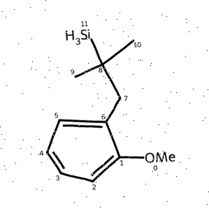 COc1ccccc1CC(C)(C)[SiH3]